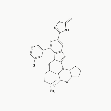 CC1CN(c2nc3cc(-c4noc(=O)[nH]4)nc(-c4cncc(Cl)c4)c3n2C[C@H]2CC[C@H](C)CC2)C2CCCC2O1